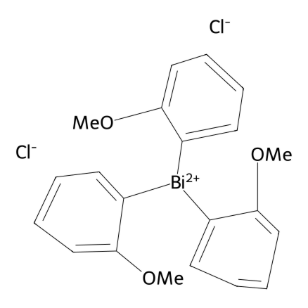 COc1cccc[c]1[Bi+2]([c]1ccccc1OC)[c]1ccccc1OC.[Cl-].[Cl-]